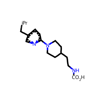 CC(C)Cc1ccc(N2CCC(CCNC(=O)O)CC2)nc1